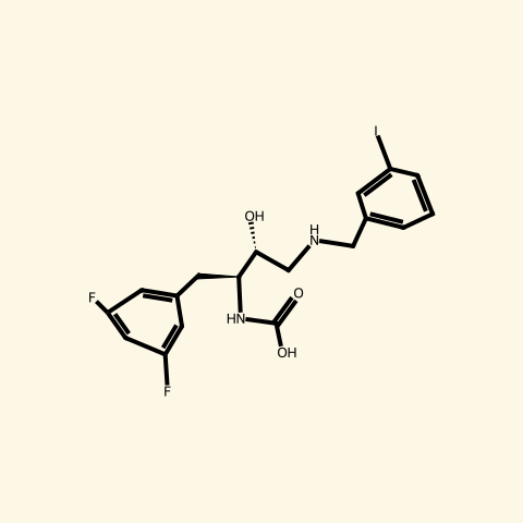 O=C(O)N[C@@H](Cc1cc(F)cc(F)c1)[C@H](O)CNCc1cccc(I)c1